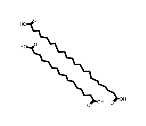 O=C(O)CCCCCCCCCCCCCCC(=O)O.O=C(O)CCCCCCCCCCCCCCCCCCCCC(=O)O